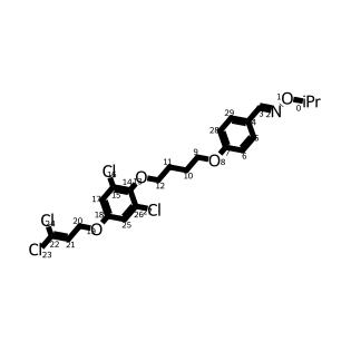 CC(C)O/N=C/c1ccc(OCCCCOc2c(Cl)cc(OCC=C(Cl)Cl)cc2Cl)cc1